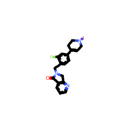 O=C1c2cccnc2CN1Cc1ccc(C2=CCN(I)CC2)cc1F